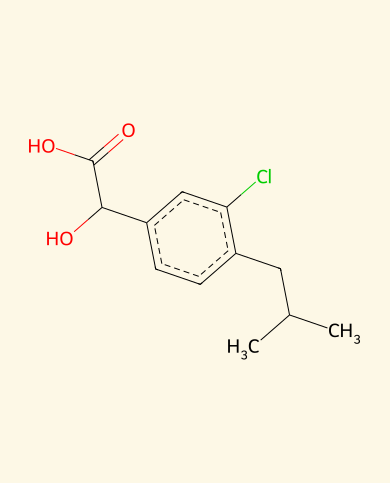 CC(C)Cc1ccc(C(O)C(=O)O)cc1Cl